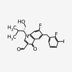 CC(C)[C@H](CO)n1cc(C=O)c(=O)c2cc(Cc3cccc(I)c3F)c(F)cc21